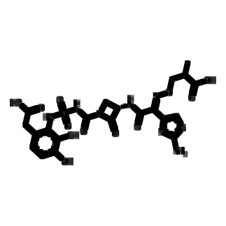 CC(CON=C(C(=O)N[C@H]1CN(C(=O)NS(=O)(=O)Nc2c(CC(=O)O)ccc(O)c2O)C1=O)c1csc(N)n1)C(=O)O